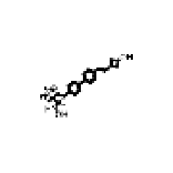 CC(CCc1ccc(-c2ccc(/C=C/C3CC(O)C3)cc2)cc1)(C(=O)NO)S(C)(=O)=O